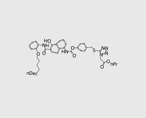 CCCCCCCCCCCCCCOc1ccccc1NC(=O)c1ccc2c(NC(=O)Oc3ccc(CSc4nnnn4CC(=O)OCCC)cc3)cccc2c1O